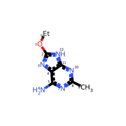 CCOc1nc2c(N)nc(C)nc2[nH]1